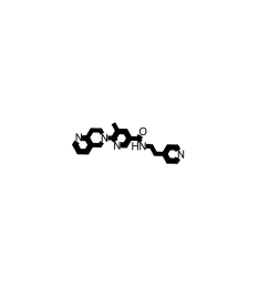 Cc1cc(C(=O)NCCc2ccncc2)cnc1N1CCc2ncccc2C1